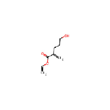 C=COC(=O)C(=C)CCCO